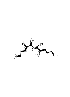 NCCCC(O)C(O)OC(O)C(O)CCCN